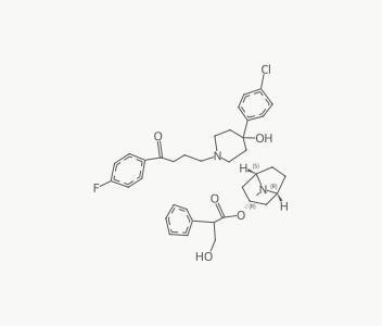 CN1[C@@H]2CC[C@H]1C[C@@H](OC(=O)C(CO)c1ccccc1)C2.O=C(CCCN1CCC(O)(c2ccc(Cl)cc2)CC1)c1ccc(F)cc1